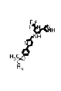 CC(C)Oc1ccc(-c2ccc(CNc3cc(-c4cn[nH]c4)nc(C(F)(F)F)c3)cn2)cc1